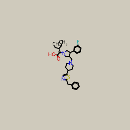 CCC(CC)[C@H](C(=O)O)N1CC(CN2CCC(c3cnc(Cc4ccccc4)s3)CC2)C(c2cccc(F)c2)C1